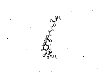 C=CC(=O)OCCCCOC(=O)Oc1ccc(C(=O)S(C)(=O)=O)cc1